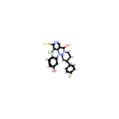 O=C(c1cnc(S)c(Cl)c1Nc1cccc(Br)c1)N1CCC(c2ccc(F)cc2)CC1